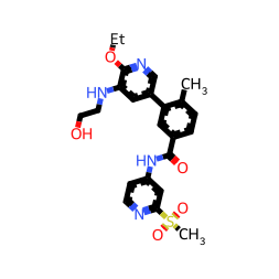 CCOc1ncc(-c2cc(C(=O)Nc3ccnc(S(C)(=O)=O)c3)ccc2C)cc1NCCO